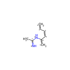 C=C/C=C\C(=C)NC(C)=N